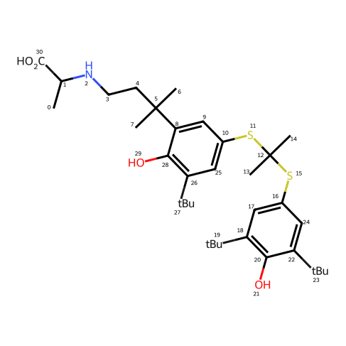 CC(NCCC(C)(C)c1cc(SC(C)(C)Sc2cc(C(C)(C)C)c(O)c(C(C)(C)C)c2)cc(C(C)(C)C)c1O)C(=O)O